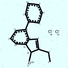 CCC1=Cc2c(-c3ccccc3)cccc2[CH]1[Zr+2].[Cl-].[Cl-]